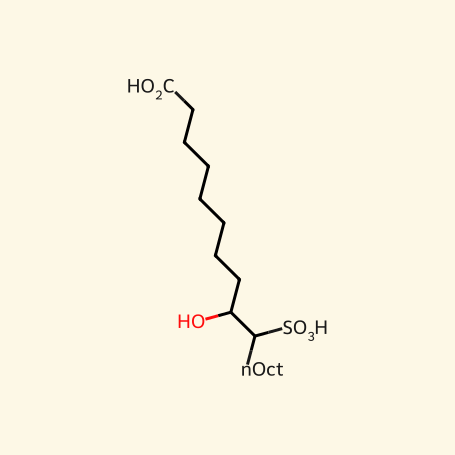 CCCCCCCCC(C(O)CCCCCCCC(=O)O)S(=O)(=O)O